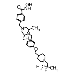 CC1CN(Cc2ccc(C(=O)NO)cc2)CC(C)N1Cc1cccc(OCC2CCN(CC(C)(C)F)CC2)c1